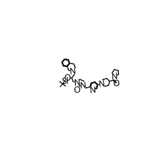 CC(C)(C)[Si](C)(C)OC(CN1CCc2ccccc2C1)CN1CCN(Cc2ccc(N3CCC(C(=O)N4CCCC4)CC3)cn2)C1=O